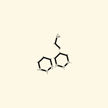 C1COOOC1.C1COOOC1.CCO